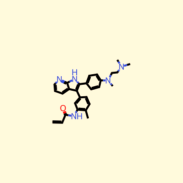 C=CC(=O)Nc1cc(-c2c(-c3ccc(N(C)CCN(C)C)cc3)[nH]c3ncccc23)ccc1C